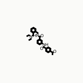 CCN(CC)Cc1ccccc1CNC(=O)c1cccc(NC(=O)c2ccc(C(C)=O)cc2)c1